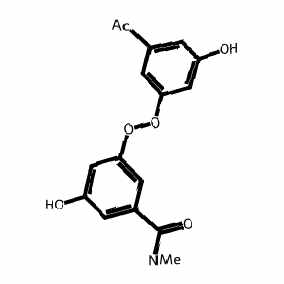 CNC(=O)c1cc(O)cc(OOc2cc(O)cc(C(C)=O)c2)c1